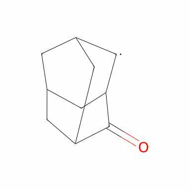 O=C1C2[CH]C3CC(C2)CC1C3